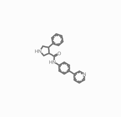 O=C(Nc1ccc(-c2cccnc2)cc1)C1CNCC1c1ccccc1